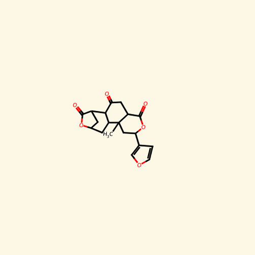 CC12CC(c3ccoc3)OC(=O)C1CC(=O)C1C3CC(CC12)OC3=O